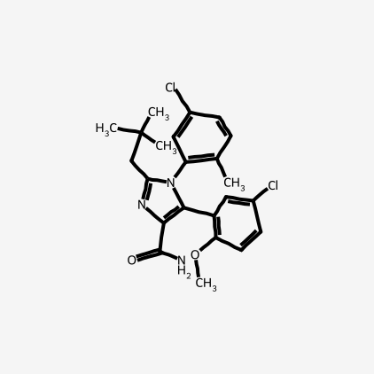 COc1ccc(Cl)cc1-c1c(C(N)=O)nc(CC(C)(C)C)n1-c1cc(Cl)ccc1C